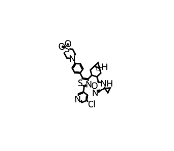 N#CC1(NC(=O)C2C[C@@H]3CC3CC2c2nc(-c3cncc(Cl)c3)sc2-c2ccc(N3CCS(=O)(=O)CC3)cc2)CC1